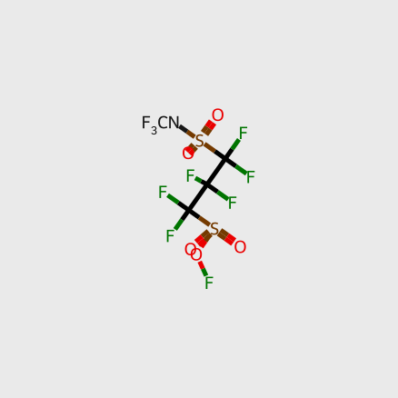 O=S(=O)(NC(F)(F)F)C(F)(F)C(F)(F)C(F)(F)S(=O)(=O)OF